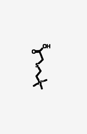 C[N+](C)(C)CCSCC(=O)O